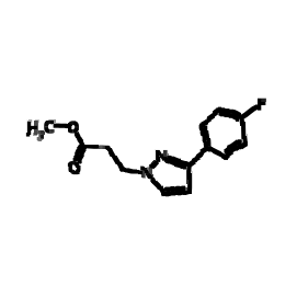 COC(=O)CCn1ccc(-c2ccc(F)cc2)n1